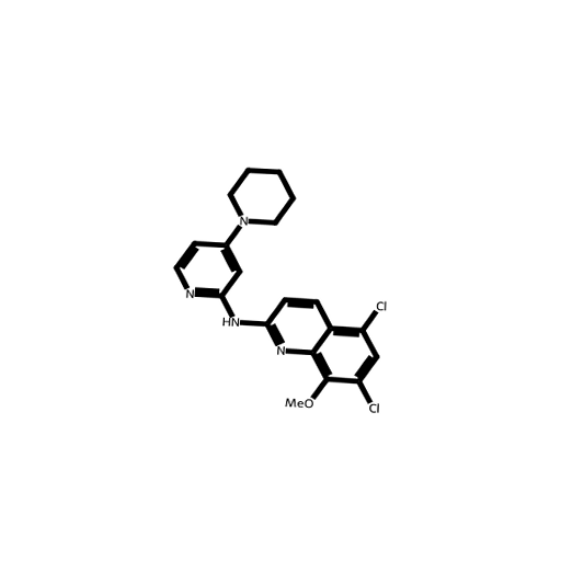 COc1c(Cl)cc(Cl)c2ccc(Nc3cc(N4CCCCC4)ccn3)nc12